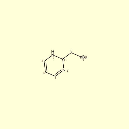 CCCCC[C]1N=CC=CN1